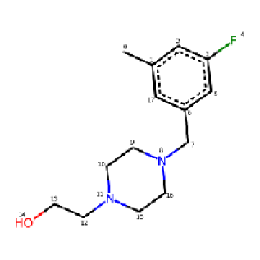 Cc1cc(F)cc(CN2CCN(CCO)CC2)c1